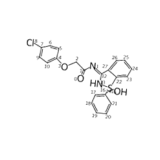 O=C(COc1ccc(Cl)cc1)N=C1NS(O)(c2ccccc2)c2ccccc21